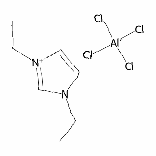 CCn1cc[n+](CC)c1.[Cl][Al-]([Cl])([Cl])[Cl]